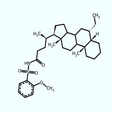 CC[C@H]1CC2C3CC[C@H]([C@H](C)CCC(=O)NS(=O)(=O)c4ccccc4OC)[C@@]3(C)CCC2[C@@]2(C)CCCC[C@@H]12